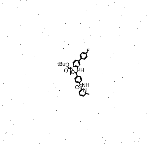 Cc1cccc(S(=N)(=O)c2ccc(C(=O)Nc3cc(-c4ccc(F)cc4)ccc3NC(=O)OC(C)(C)C)cc2)n1